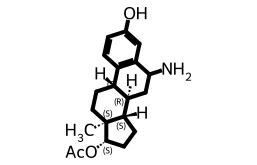 CC(=O)O[C@H]1CC[C@H]2[C@@H]3CC(N)c4cc(O)ccc4[C@H]3CC[C@]12C